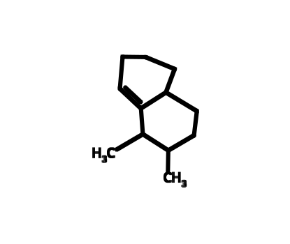 CC1CCC2CCCC=C2C1C